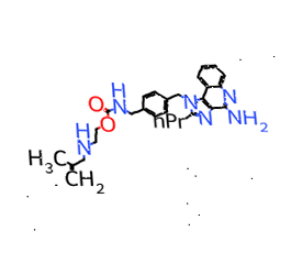 C=C(C)CNCCOC(=O)NCc1ccc(Cn2c(CCC)nc3c(N)nc4ccccc4c32)cc1